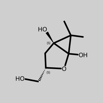 CC1(C)C2(O)O[C@H](CO)C[C@]12O